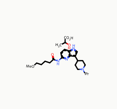 CC(O)C(=O)O.COCCCCC(=O)Nc1ccc2[nH]cc(C3CCN(C(C)C)CC3)c2n1